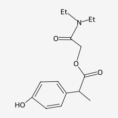 CCN(CC)C(=O)COC(=O)C(C)c1ccc(O)cc1